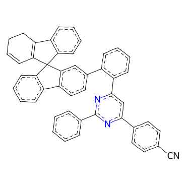 N#Cc1ccc(-c2cc(-c3ccccc3-c3ccc4c(c3)C3(C5=C(CCC=C5)c5ccccc53)c3ccccc3-4)nc(-c3ccccc3)n2)cc1